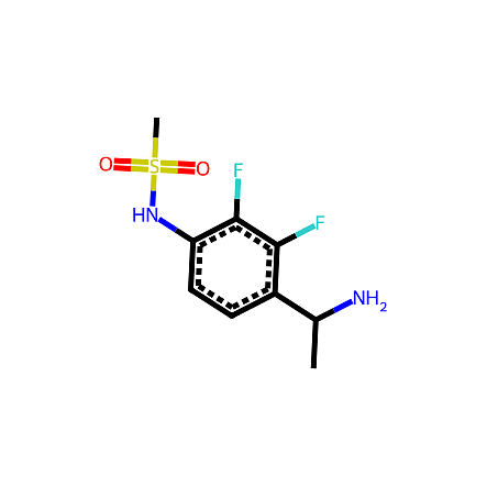 CC(N)c1ccc(NS(C)(=O)=O)c(F)c1F